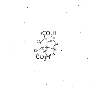 C1=CC2=CC=CC2=C1.O=C(O)CCCCC(=O)O